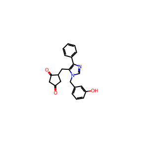 O=C1CC(=O)C(Cc2c(-c3ccccc3)ncn2Cc2cccc(O)c2)C1